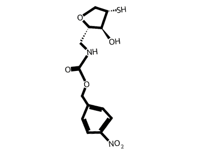 O=C(NC[C@@H]1OC[C@H](S)[C@H]1O)OCc1ccc([N+](=O)[O-])cc1